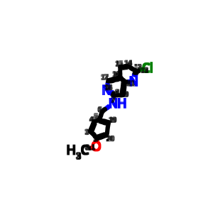 COc1ccc(CNc2cc3nc(Cl)ccc3cn2)cc1